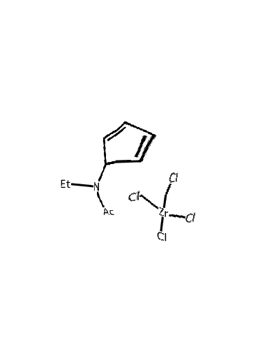 CCN(C(C)=O)C1C=CC=C1.[Cl][Zr]([Cl])([Cl])[Cl]